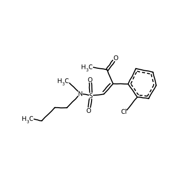 CCCCN(C)S(=O)(=O)C=C(C(C)=O)c1ccccc1Cl